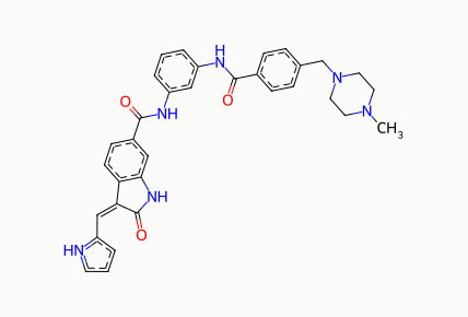 CN1CCN(Cc2ccc(C(=O)Nc3cccc(NC(=O)c4ccc5c(c4)NC(=O)/C5=C\c4ccc[nH]4)c3)cc2)CC1